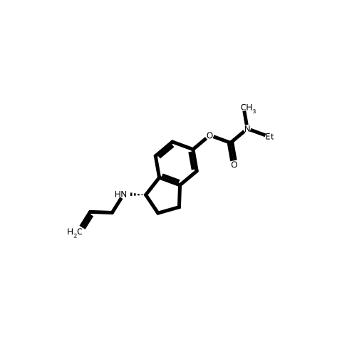 C=CCN[C@H]1CCc2cc(OC(=O)N(C)CC)ccc21